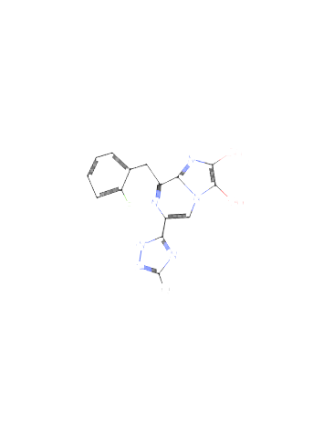 Bc1nc2c(Cc3ccccc3F)nc(-c3nc(C(F)(F)F)n[nH]3)cn2c1O